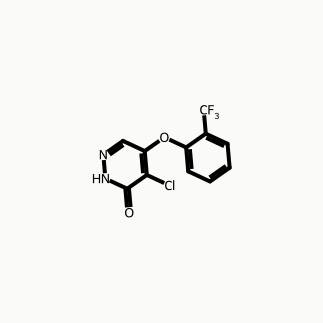 O=c1[nH]ncc(Oc2ccccc2C(F)(F)F)c1Cl